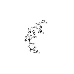 Cc1ccc(-n2ncc(NC(=O)Cn3cc(C(F)(F)F)nc3C)c2C(C)C)cc1